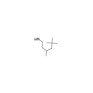 CC(CC[NH])CC(C)(C)C